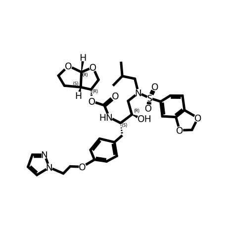 CC(C)CN(C[C@@H](O)[C@H](Cc1ccc(OCCn2cccn2)cc1)NC(=O)O[C@H]1CO[C@H]2OCC[C@H]21)S(=O)(=O)c1ccc2c(c1)OCO2